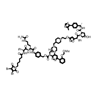 COCOc1ccccc1-c1cc2c(nn1)N(C(=O)OCc1ccc(NC(=O)[C@H](CCCNC(N)=O)NC(=O)[C@@H](NC(=O)CCCCCN3C(=O)C(Br)=C(Br)C3=O)C(C)C)cc1)C[C@H]1CN(CC3CCN(CCOc4cc([C@H](C(=O)N5C[C@H](O)C[C@H]5C(=O)N[C@@H](C)c5ccc(-c6scnc6C)cc5)C(C)C)on4)CC3)CCN21